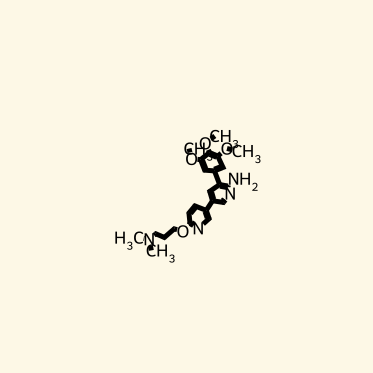 COc1cc(-c2cc(-c3ccc(OCCCN(C)C)nc3)cnc2N)cc(OC)c1OC